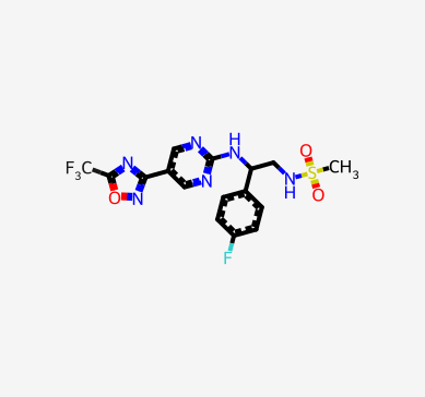 CS(=O)(=O)NCC(Nc1ncc(-c2noc(C(F)(F)F)n2)cn1)c1ccc(F)cc1